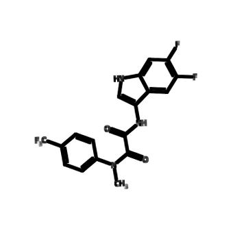 CN(C(=O)C(=O)Nc1c[nH]c2cc(F)c(F)cc12)c1ccc(C(F)(F)F)cc1